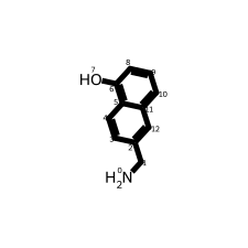 NCc1ccc2c(O)cccc2c1